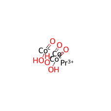 [O]=[Co-][OH].[O]=[Co-][OH].[O]=[Co-][OH].[Pr+3]